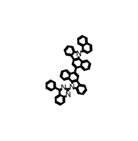 c1ccc(-c2nc(-n3c4ccccc4c4cc(-c5cc6c7ccccc7n(-c7cccc8ccccc78)c6c6ccccc56)c5ccccc5c43)nc3ccccc23)cc1